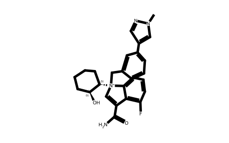 Cn1cc(-c2cccc(C[N+]3([C@H]4CCCC[C@@H]4O)C=C(C(N)=O)c4c(F)cccc43)c2)cn1